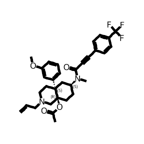 C=CCN1CC[C@@]2(c3cccc(OC)c3)C[C@@H](N(C)C(=O)C#Cc3ccc(C(F)(F)F)cc3)CC[C@]2(OC(C)=O)C1